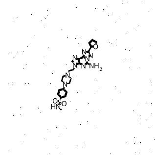 CNS(=O)(=O)c1ccc(N2CCN(CCn3cnc4c3nc(N)n3nc(-c5ccco5)nc43)CC2)cc1